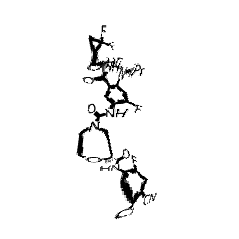 CC(C)N(C=O)c1cc(F)c(NC(=O)N2C=CO[C@@H](C(=O)Nc3cc(Cl)c(C#N)cc3F)C2)cc1C(=O)NCC1CC1(F)F